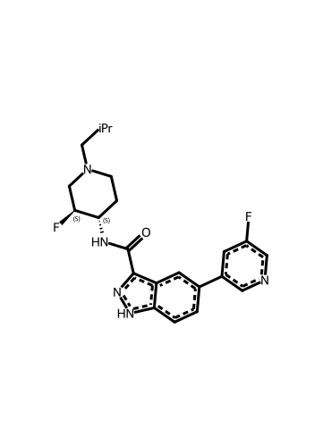 CC(C)CN1CC[C@H](NC(=O)c2n[nH]c3ccc(-c4cncc(F)c4)cc23)[C@@H](F)C1